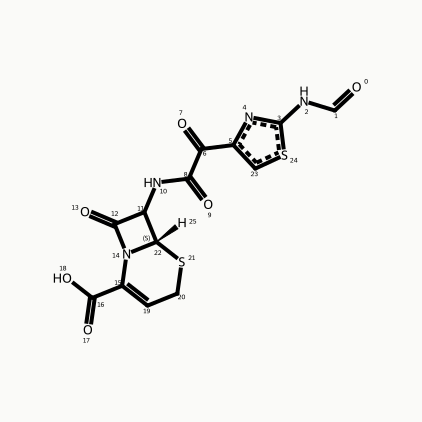 O=CNc1nc(C(=O)C(=O)NC2C(=O)N3C(C(=O)O)=CCS[C@@H]23)cs1